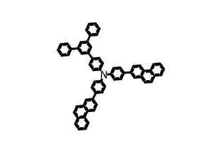 c1ccc(-c2cc(-c3ccccc3)cc(-c3ccc(N(c4ccc(-c5ccc6c(ccc7ccccc76)c5)cc4)c4ccc(-c5ccc6c(ccc7ccccc76)c5)cc4)cc3)c2)cc1